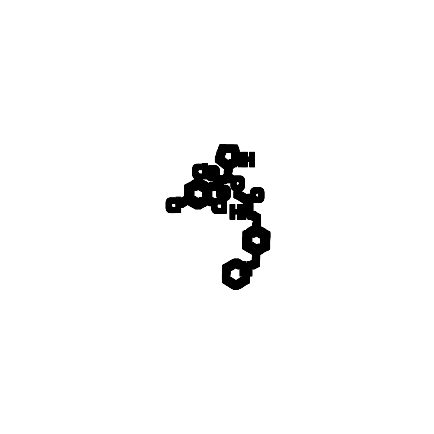 O=C(COC(C1CCCN1)S(=O)(=O)c1c(Cl)cc(Cl)cc1Cl)NCc1ccc(CN2CCCCC2)cc1